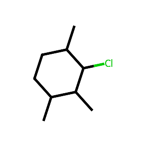 CC1CCC(C)C(Cl)C1C